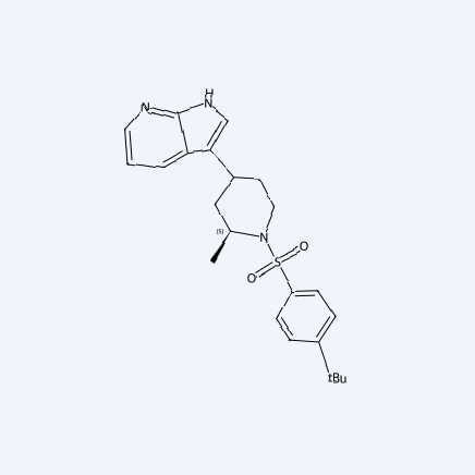 C[C@H]1CC(c2c[nH]c3ncccc23)CCN1S(=O)(=O)c1ccc(C(C)(C)C)cc1